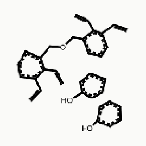 C=Cc1cccc(COCc2cccc(C=C)c2C=C)c1C=C.Oc1ccccc1.Oc1ccccc1